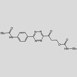 CC(C)(C)NC(=O)OCCC(=O)c1nnc(-c2ccc(NC(=O)C(C)(C)C)cc2)nn1